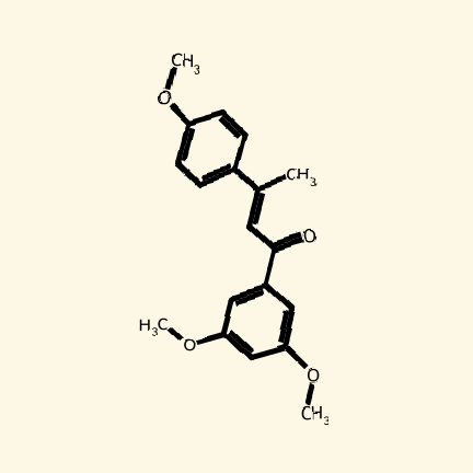 COc1ccc(/C(C)=C/C(=O)c2cc(OC)cc(OC)c2)cc1